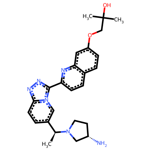 C[C@@H](c1ccc2nnc(-c3ccc4ccc(OCC(C)(C)O)cc4n3)n2c1)N1CC[C@H](N)C1